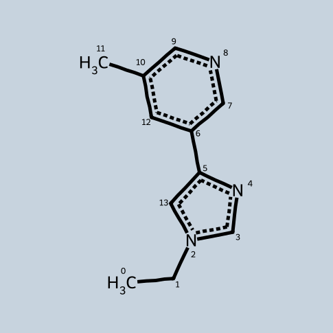 CCn1cnc(-c2cncc(C)c2)c1